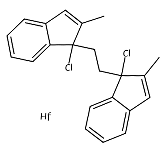 CC1=Cc2ccccc2C1(Cl)CCC1(Cl)C(C)=Cc2ccccc21.[Hf]